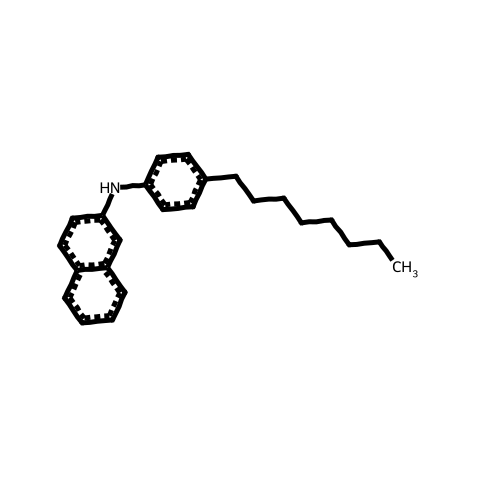 CCCCCCCCc1ccc(Nc2ccc3ccccc3c2)cc1